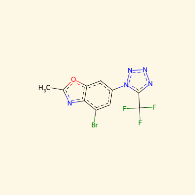 Cc1nc2c(Br)cc(-n3nnnc3C(F)(F)F)cc2o1